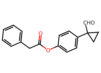 O=CC1(c2ccc(OC(=O)Cc3ccccc3)cc2)CC1